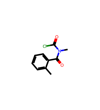 Cc1ccccc1C(=O)N(C)C(=O)Cl